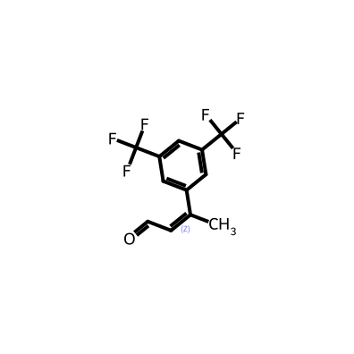 C/C(=C/C=O)c1cc(C(F)(F)F)cc(C(F)(F)F)c1